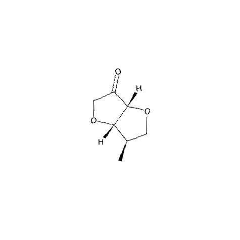 C[C@@H]1CO[C@H]2C(=O)CO[C@@H]12